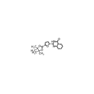 CC1(C)OB(c2ccc(-c3nc4ccccc4c(=O)[nH]3)o2)OC1(C)C